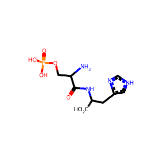 NC(COP(=O)(O)O)C(=O)NC(Cc1c[nH]cn1)C(=O)O